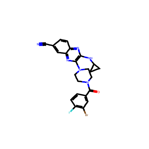 N#Cc1ccc2nc(NC3CC3)c(N3CCN(C(=O)c4ccc(F)c(Br)c4)CC3)nc2c1